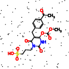 COC(=O)Oc1[nH]c(=O)n(CCCS(=O)(=O)O)c(=O)c1Cc1ccc(C(C)=O)cc1